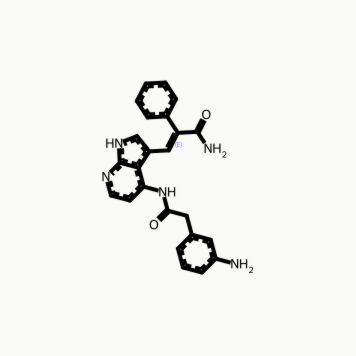 NC(=O)/C(=C/c1c[nH]c2nccc(NC(=O)Cc3cccc(N)c3)c12)c1ccccc1